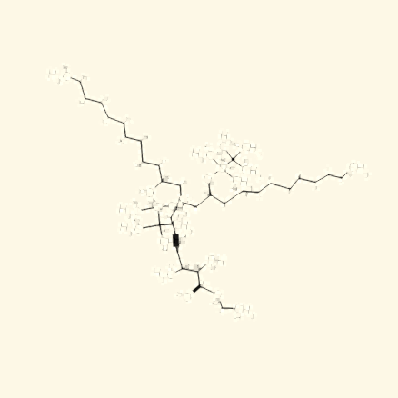 CCCCCCCCCCC(CN(CC#CC(C)C(O)C(=O)OCC)CC(CCCCCCCCCC)O[Si](C)(C)C(C)(C)C)O[Si](C)(C)C(C)(C)C